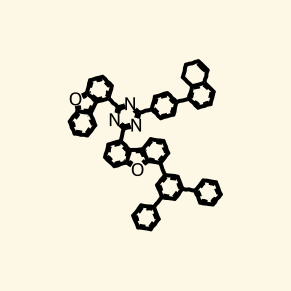 C1=Cc2cccc(-c3ccc(-c4nc(-c5cccc6oc7ccccc7c56)nc(-c5cccc6oc7c(-c8cc(-c9ccccc9)cc(-c9ccccc9)c8)cccc7c56)n4)cc3)c2CC1